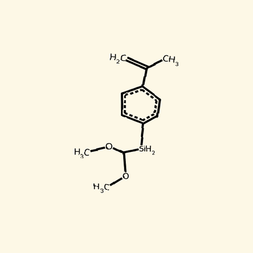 C=C(C)c1ccc([SiH2]C(OC)OC)cc1